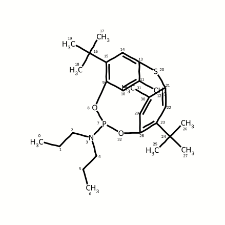 CCCN(CCC)P1Oc2cc(C)c(cc2C(C)(C)C)Sc2cc(C(C)(C)C)c(cc2C)O1